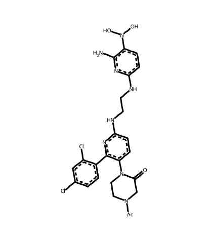 CC(=O)N1CCN(c2ccc(NCCNc3ccc(N(O)O)c(N)n3)nc2-c2ccc(Cl)cc2Cl)C(=O)C1